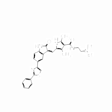 CCN(CC)CCNC(=O)c1c(C)[nH]c(C=C2C(=O)Nc3ccc(-c4csc(-c5ccccc5)n4)cc32)c1C